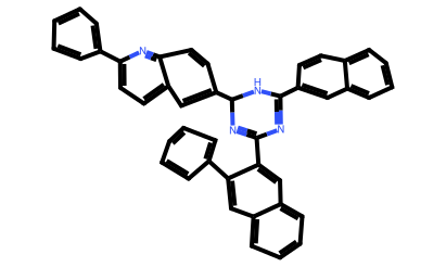 c1ccc(-c2ccc3cc(C4N=C(c5cc6ccccc6cc5-c5ccccc5)N=C(c5ccc6ccccc6c5)N4)ccc3n2)cc1